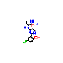 CCC(Nc1ccnc(-c2cc(Cl)ccc2O)n1)C(N)=O